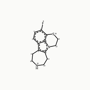 Fc1ccc2c3c(n4c2c1SCC4)CCNCC3